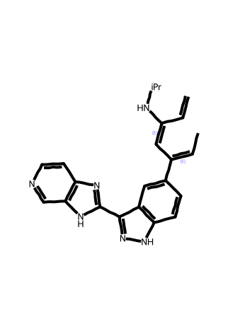 C=C/C(=C\C(=C/C)c1ccc2[nH]nc(-c3nc4ccncc4[nH]3)c2c1)NC(C)C